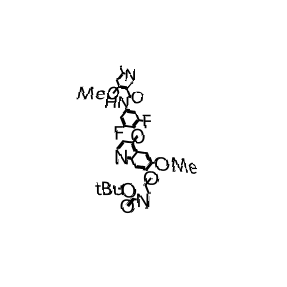 COc1cc2c(Oc3c(F)cc(NC(=O)c4cnc(C)cc4OC)cc3F)ccnc2cc1OCCN(C)C(=O)OC(C)(C)C